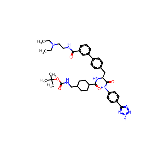 CCN(CC)CCNC(=O)c1cccc(-c2ccc(C[C@H](NC(=O)C3CCC(CNC(=O)OC(C)(C)C)CC3)C(=O)Nc3ccc(-c4nn[nH]n4)cc3)cc2)c1